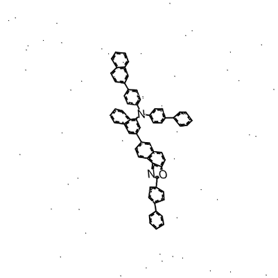 c1ccc(-c2ccc(-c3nc4c(ccc5cc(-c6cc(N(c7ccc(-c8ccccc8)cc7)c7ccc(-c8ccc9ccccc9c8)cc7)c7ccccc7c6)ccc54)o3)cc2)cc1